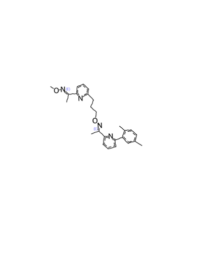 CO/N=C(\C)c1cccc(CCCO/N=C(\C)c2cccc(-c3cc(C)ccc3C)n2)n1